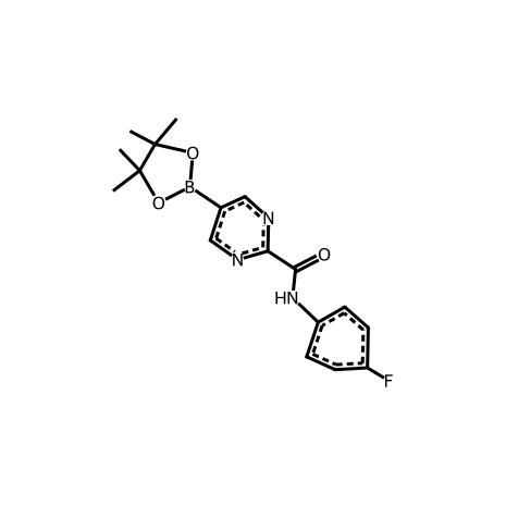 CC1(C)OB(c2cnc(C(=O)Nc3ccc(F)cc3)nc2)OC1(C)C